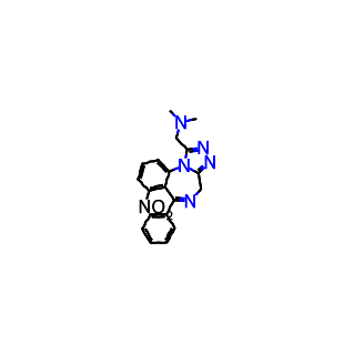 CN(C)Cc1nnc2n1-c1cccc([N+](=O)[O-])c1C(c1ccccc1)=NC2